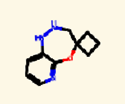 c1cnc2c(c1)NNCC1(CCC1)O2